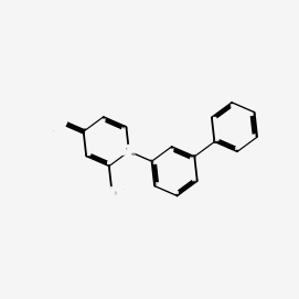 C=C1C=CN(c2cccc(-c3ccccc3)c2)C(CCC)=C1